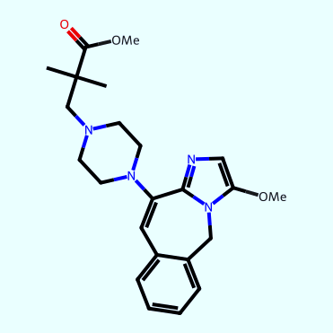 COC(=O)C(C)(C)CN1CCN(C2=Cc3ccccc3Cn3c(OC)cnc32)CC1